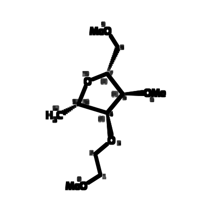 COCCO[C@@H]1[C@H](OC)[C@@H](COC)O[C@H]1C